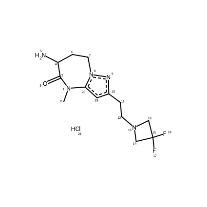 CN1C(=O)C(N)CCn2nc(CCN3CC(F)(F)C3)cc21.Cl